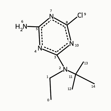 CCN(c1nc(N)nc(Cl)n1)C(C)(C)C